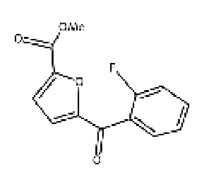 COC(=O)c1ccc(C(=O)c2ccccc2F)o1